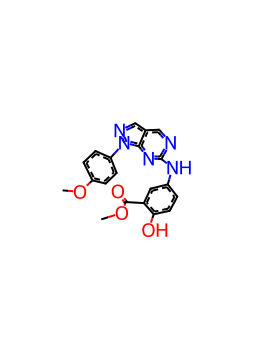 COC(=O)c1cc(Nc2ncc3cnn(-c4ccc(OC)cc4)c3n2)ccc1O